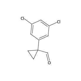 O=CC1(c2cc(Cl)cc(Cl)c2)CC1